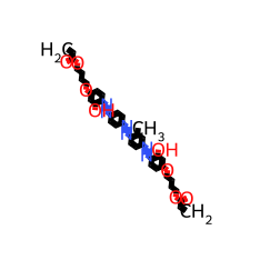 C=CC(=O)OCCCCOc1ccc(/N=N/c2ccc(/N=N/c3ccc(/N=N/c4ccc(OCCCCOC(=O)C=C)cc4O)cc3C)cc2)c(O)c1